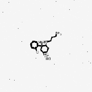 CN[C@]1(c2ccccc2Cl)CCCC[C@H]1NCCCN.Cl.Cl.Cl